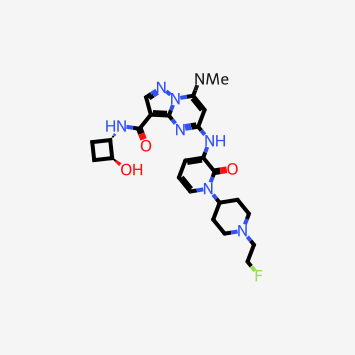 CNc1cc(Nc2cccn(C3CCN(CCF)CC3)c2=O)nc2c(C(=O)N[C@H]3CC[C@@H]3O)cnn12